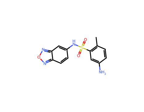 Cc1ccc(N)cc1S(=O)(=O)Nc1ccc2nonc2c1